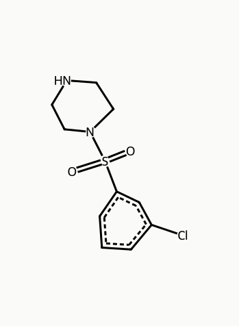 O=S(=O)(c1cccc(Cl)c1)N1CCNCC1